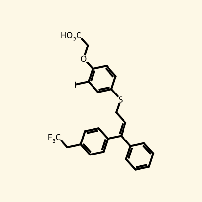 O=C(O)COc1ccc(SCC=C(c2ccccc2)c2ccc(CC(F)(F)F)cc2)cc1I